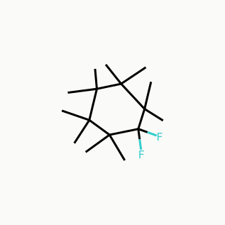 CC1(C)C(C)(C)C(C)(C)C(F)(F)C(C)(C)C1(C)C